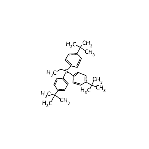 CCS(c1ccc(C(C)(C)C)cc1)(c1ccc(C(C)(C)C)cc1)c1ccc(C(C)(C)C)cc1